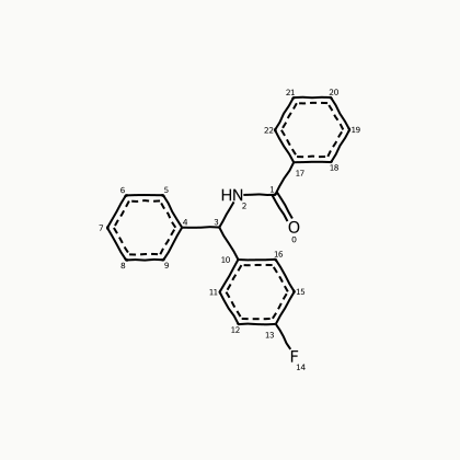 O=C(NC(c1ccccc1)c1ccc(F)cc1)c1ccccc1